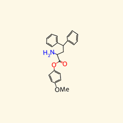 COc1ccc(OC(=O)C(N)CC(c2ccccc2)c2ccccc2)cc1